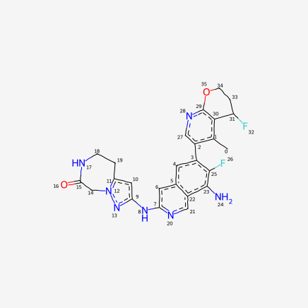 Cc1c(-c2cc3cc(Nc4cc5n(n4)CC(=O)NCC5)ncc3c(N)c2F)cnc2c1C(F)CCO2